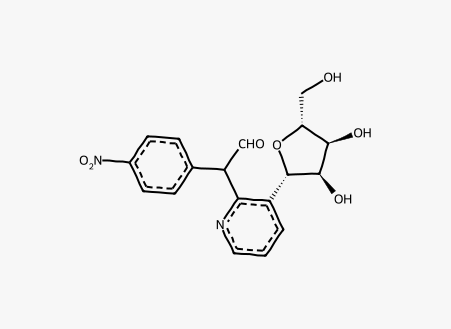 O=CC(c1ccc([N+](=O)[O-])cc1)c1ncccc1[C@@H]1O[C@H](CO)[C@@H](O)[C@H]1O